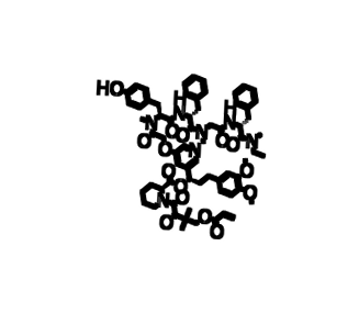 C=CC(=O)OCC(C)(C)C(=O)C(=O)N1CCCC[C@H]1C(=O)O[C@H](CCc1ccc(OC)c(OC)c1)c1cncc(OCC(=O)N(C)[C@@H](Cc2ccc(O)cc2)C(=O)N[C@H](Cc2ccccc2)C(=O)N(C)CC(=O)N[C@H](Cc2ccccc2)C(=O)N(C)CC)c1